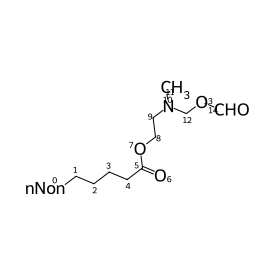 CCCCCCCCCCCCCC(=O)OCCN(C)COC=O